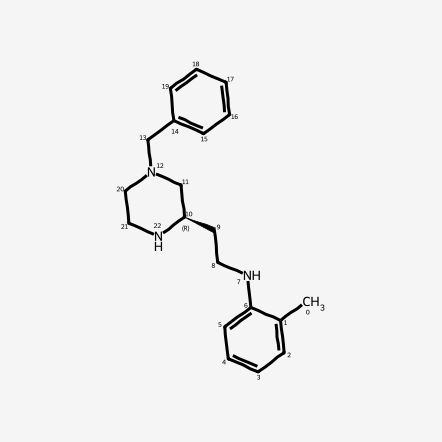 Cc1ccccc1NCC[C@@H]1CN(Cc2ccccc2)CCN1